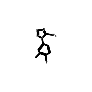 Cc1cc(-n2nnnc2C(F)(F)F)ccc1F